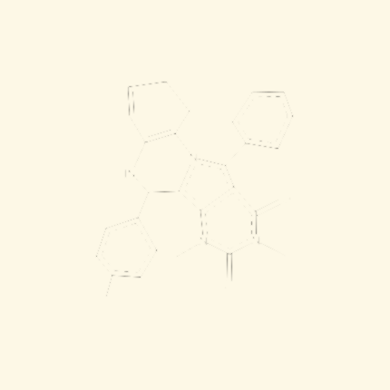 Cn1c(=O)c2c(-c3ccccc3)n3c(c2n(C)c1=O)C(c1ccc(F)cc1)NC1=C3CCC=C1